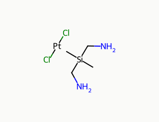 C[Si](C)(CN)CN.[Cl][Pt][Cl]